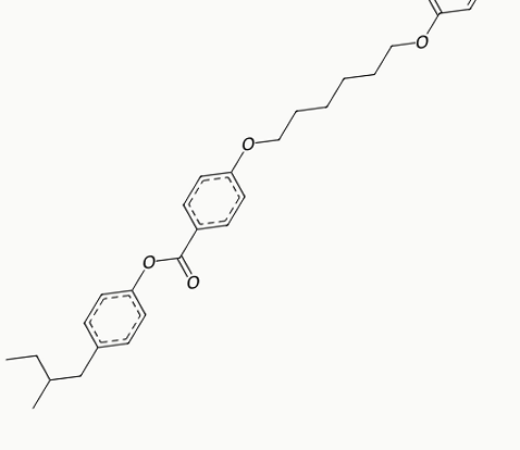 C=CC(=O)OCCCCCCOc1ccc(C(=O)Oc2ccc(CC(C)CC)cc2)cc1